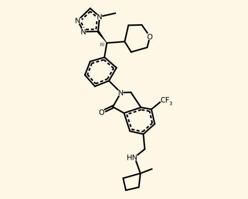 Cn1cnnc1[C@H](c1cccc(N2Cc3c(cc(CNC4(C)CCC4)cc3C(F)(F)F)C2=O)c1)C1CCOCC1